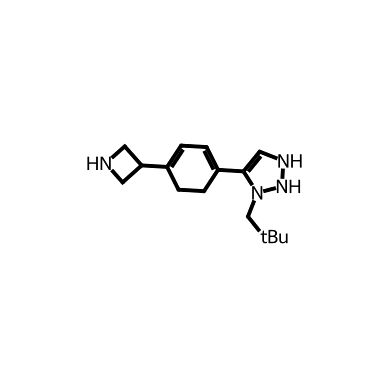 CC(C)(C)CN1NNC=C1C1=CC=C(C2CNC2)CC1